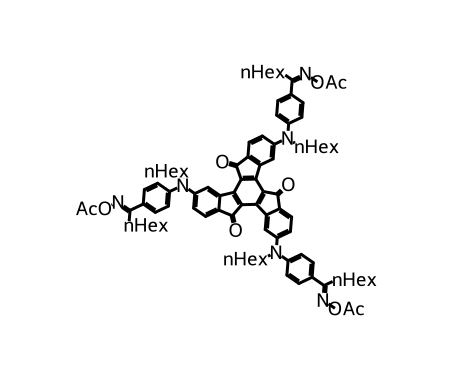 CCCCCC/C(=N/OC(C)=O)c1ccc(N(CCCCCC)c2ccc3c(=O)c4c(c3c2)c2c(=O)c3ccc(N(CCCCCC)c5ccc(/C(CCCCCC)=N/OC(C)=O)cc5)cc3c2c2c(=O)c3ccc(N(CCCCCC)c5ccc(/C(CCCCCC)=N/OC(C)=O)cc5)cc3c42)cc1